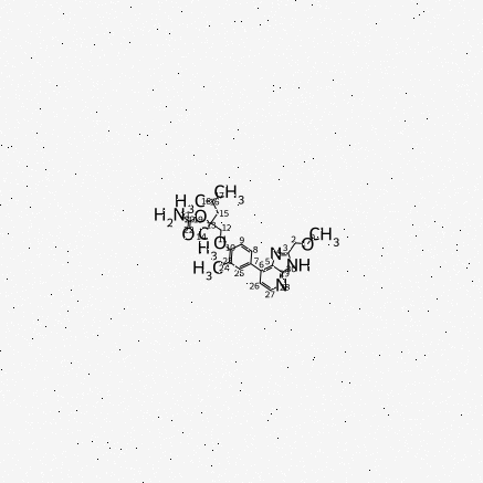 COCc1nc2c(-c3ccc(OCC(C)(CC(C)C)OC(N)=O)c(C)c3)ccnc2[nH]1